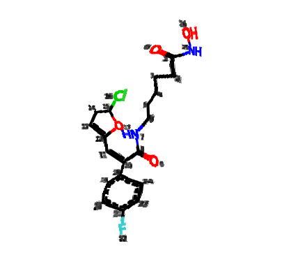 O=C(CCCCCNC(=O)/C(=C\C1=CCC(Cl)O1)c1ccc(F)cc1)NO